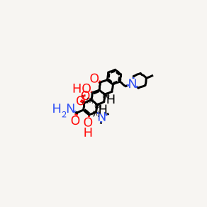 CO[C@@]12C(=O)C(C(N)=O)=C(O)[C@H](N(C)C)[C@@H]1C[C@@H]1Cc3c(CN4CCC(C)CC4)cccc3C(=O)C1=C2O